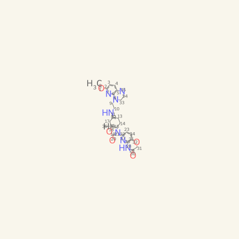 COc1ccc2c(n1)N(CCN[C@H]1CCC3[C@H](C1)OC(=O)N3c1ccc3c(n1)NC(=O)CO3)CC=N2